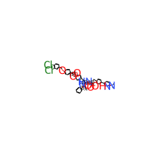 CC[C@@H](c1ccccc1)N1Cc2cc3c(cc2C[C@H]1C(=O)N[C@@H](Cc1ccc(-c2ccc(N(C)C)nc2)cc1)C(=O)O)OC[C@H](c1ccc(OCc2ccc(Cl)c(Cl)c2)cc1)O3